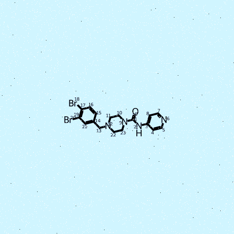 O=C(Nc1ccncc1)N1CCN(Cc2ccc(Br)c(Br)c2)CC1